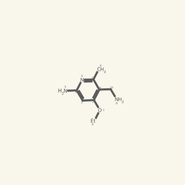 CCOc1cc(N)nc(C)c1CN